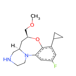 COC[C@@H]1C[C@@H]2CNCCN2c2cc(F)cc(C3CC3)c2O1